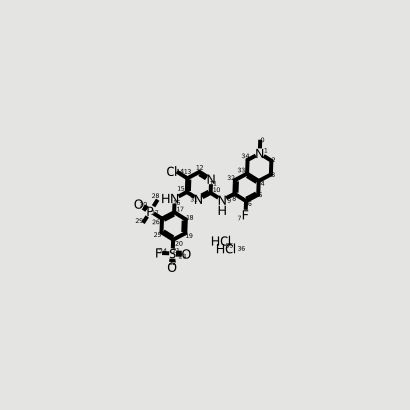 CN1CCc2cc(F)c(Nc3ncc(Cl)c(Nc4ccc(S(=O)(=O)F)cc4P(C)(C)=O)n3)cc2C1.Cl.Cl